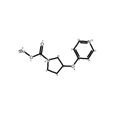 CC(C)(C)OC(=O)N1CCC(Oc2ccncc2)C1